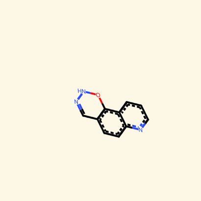 C1=NNOc2c1ccc1ncccc21